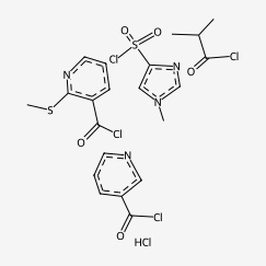 CC(C)C(=O)Cl.CSc1ncccc1C(=O)Cl.Cl.Cn1cnc(S(=O)(=O)Cl)c1.O=C(Cl)c1cccnc1